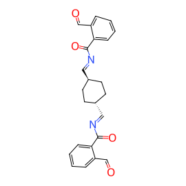 O=Cc1ccccc1C(=O)N=C[C@H]1CC[C@H](C=NC(=O)c2ccccc2C=O)CC1